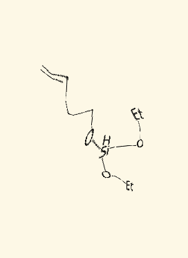 C=CCCO[SiH](OCC)OCC